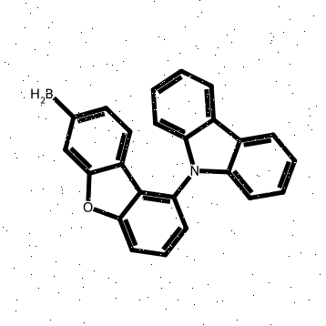 Bc1ccc2c(c1)oc1cccc(-n3c4ccccc4c4ccccc43)c12